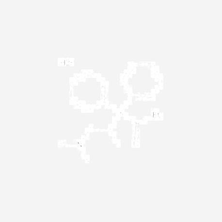 Br.CCC(=O)C(c1ccccc1)(c1ccccc1)C(C)CN(C)C